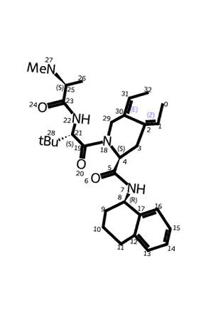 C/C=C1/C[C@@H](C(=O)N[C@@H]2CCCc3ccccc32)N(C(=O)[C@@H](NC(=O)[C@H](C)NC)C(C)(C)C)C/C1=C/C